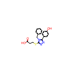 O=C(O)CCSc1nnc(-c2ccc(O)cc2)n1Cc1ccccc1